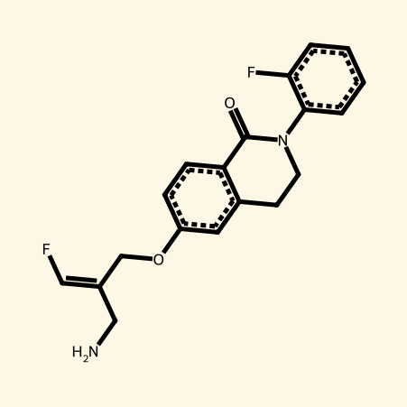 NC/C(=C/F)COc1ccc2c(c1)CCN(c1ccccc1F)C2=O